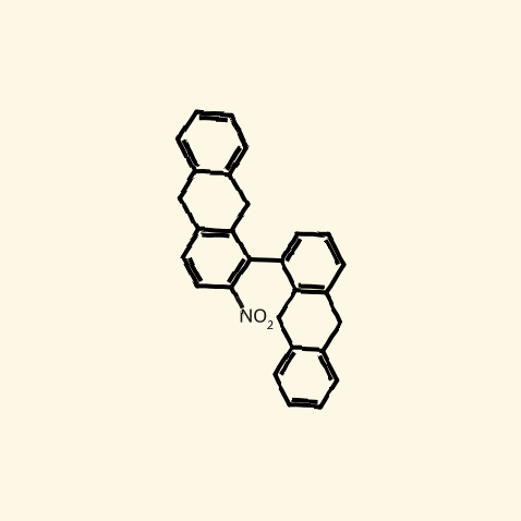 O=[N+]([O-])c1ccc2c(c1-c1cccc3c1Cc1ccccc1C3)Cc1ccccc1C2